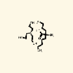 CCCCCC(N)(CCCC)C(=O)O.OCCN(CCO)CCO